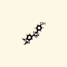 Cc1nc2cc(-c3nc(-c4ccc(O)cc4)no3)ccc2n1C